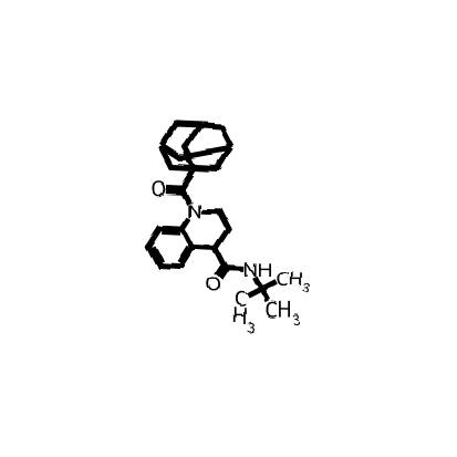 CC(C)(C)NC(=O)C1CCN(C(=O)C23CC4CC(CC(C4)C2)C3)c2ccccc21